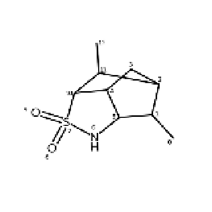 CC1C2CC3C1NS(=O)(=O)C3C2C